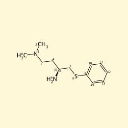 CN(C)CC[C@H](N)CSc1ccccc1